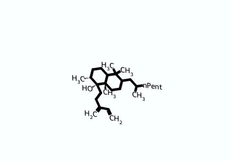 C=CC(=C)CC[C@@]1(O)[C@H](C)CCC2C(C)(C)C(CC(C)CCCCC)CC[C@@]21C